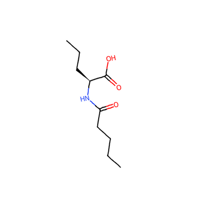 CCCCC(=O)N[C@@H](CCC)C(=O)O